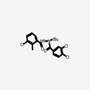 Cc1c(Cl)cccc1C(=O)NN(C(=O)c1ccc(Cl)c(Cl)c1)C(C)(C)C